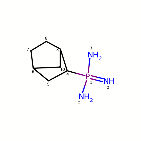 N=P(N)(N)C1CC2CCC1C2